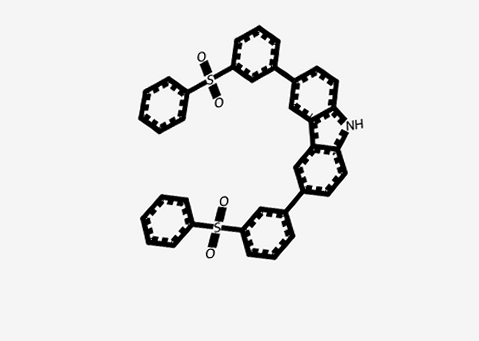 O=S(=O)(c1ccccc1)c1cccc(-c2ccc3[nH]c4ccc(-c5cccc(S(=O)(=O)c6ccccc6)c5)cc4c3c2)c1